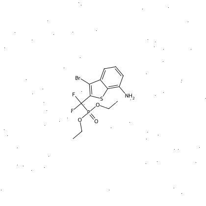 CCOP(=O)(OCC)C(F)(F)c1sc2c(N)cccc2c1Br